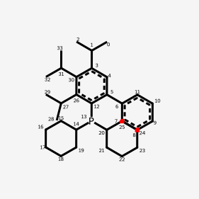 CC(C)c1cc(-c2ccccc2)c(P(C2CCCCC2)C2CCCCC2)c(C(C)C)c1C(C)C